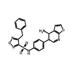 NC1c2ccoc2N=CN1c1ccc(NS(=O)(=O)c2nonc2Cc2ccccc2)cc1